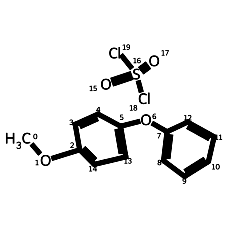 COc1ccc(Oc2ccccc2)cc1.O=S(=O)(Cl)Cl